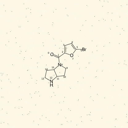 O=C(c1ccc(Br)o1)N1CCC2NCCC21